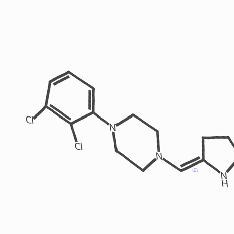 Clc1cccc(N2CCN(/C=C3\CCCN3)CC2)c1Cl